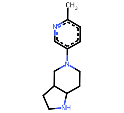 Cc1ccc(N2CCC3NCCC3C2)cn1